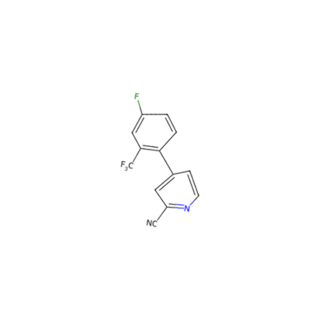 N#Cc1cc(-c2ccc(F)cc2C(F)(F)F)ccn1